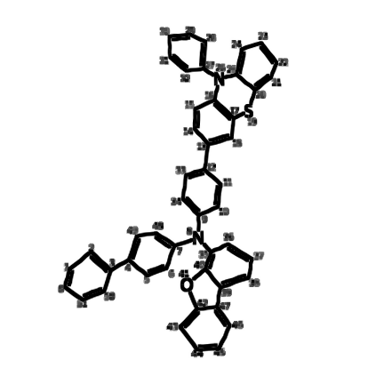 c1ccc(-c2ccc(N(c3ccc(-c4ccc5c(c4)Sc4ccccc4N5c4ccccc4)cc3)c3cccc4c3oc3ccccc34)cc2)cc1